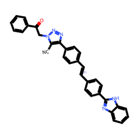 N#Cc1c(-c2ccc(/C=C/c3ccc(-c4nc5ccccc5[nH]4)cc3)cc2)nnn1CC(=O)c1ccccc1